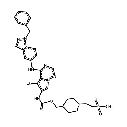 CCc1c(NC(=O)OCC2CCN(CCS(C)(=O)=O)CC2)cn2ncnc(Nc3ccc4c(cnn4Cc4ccccc4)c3)c12